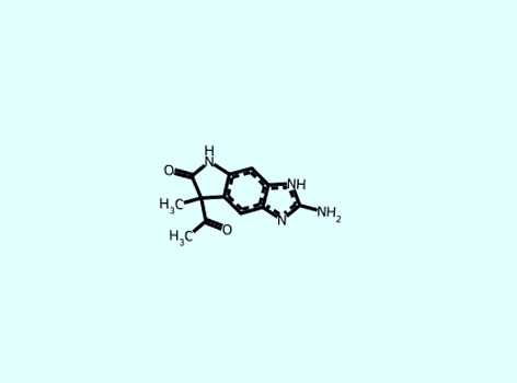 CC(=O)C1(C)C(=O)Nc2cc3[nH]c(N)nc3cc21